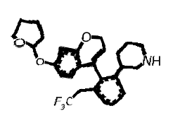 FC(F)(F)Cc1cccc(C2CCCNC2)c1C1=CCOc2cc(OC3CCCCO3)ccc21